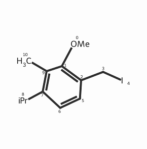 COc1c(CI)ccc(C(C)C)c1C